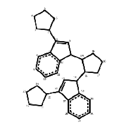 C1=C(C2CCCC2)c2ccccc2C1C1CCCC1C1C=C(C2CCCC2)c2ccccc21